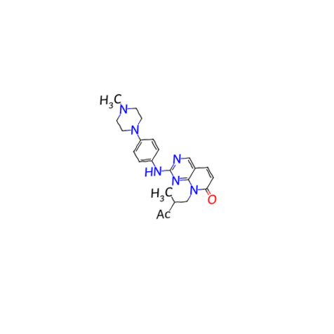 CC(=O)C(C)Cn1c(=O)ccc2cnc(Nc3ccc(N4CCN(C)CC4)cc3)nc21